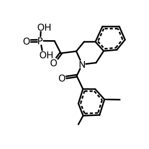 Cc1cc(C)cc(C(=O)N2Cc3ccccc3CC2C(=O)CP(=O)(O)O)c1